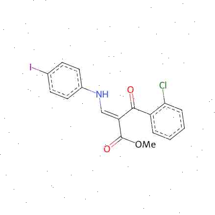 COC(=O)C(=CNc1ccc(I)cc1)C(=O)c1ccccc1Cl